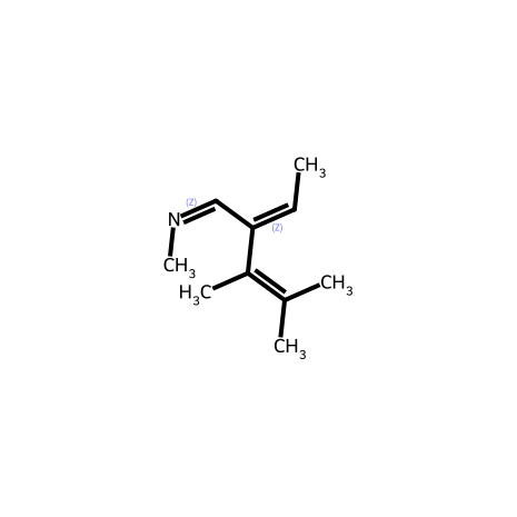 C/C=C(\C=N/C)C(C)=C(C)C